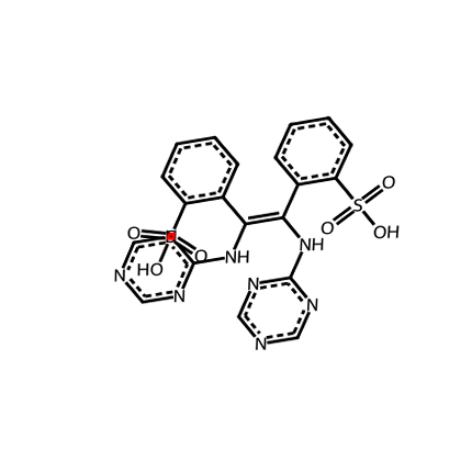 O=S(=O)(O)c1ccccc1C(Nc1ncncn1)=C(Nc1ncncn1)c1ccccc1S(=O)(=O)O